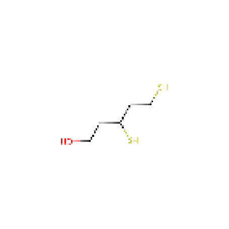 OCCC(S)CCS